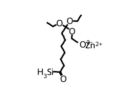 CCOC(CCCCCCC(=O)[SiH3])(OCC)OCC.[O-2].[Zn+2]